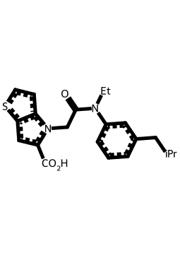 CCN(C(=O)Cn1c(C(=O)O)cc2sccc21)c1cccc(CC(C)C)c1